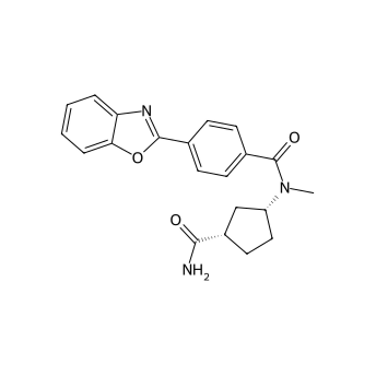 CN(C(=O)c1ccc(-c2nc3ccccc3o2)cc1)[C@@H]1CC[C@H](C(N)=O)C1